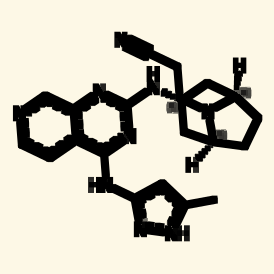 Cc1cc(Nc2nc(N[C@@H]3C[C@H]4CC[C@@H](C3)N4CCC#N)nc3cnccc23)n[nH]1